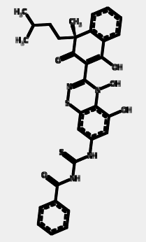 CC(C)CC[C@@]1(C)C(=O)C(C2=NSc3cc(NC(=S)NC(=O)c4ccccc4)cc(O)c3N2O)=C(O)c2ccccc21